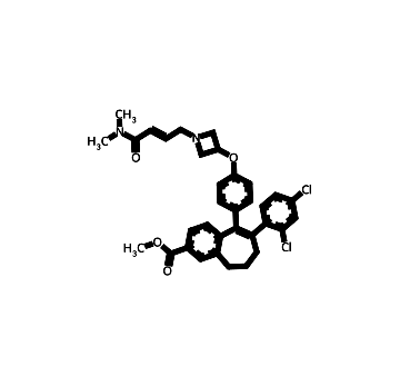 COC(=O)c1ccc2c(c1)CCCC(c1ccc(Cl)cc1Cl)=C2c1ccc(OC2CN(CC=CC(=O)N(C)C)C2)cc1